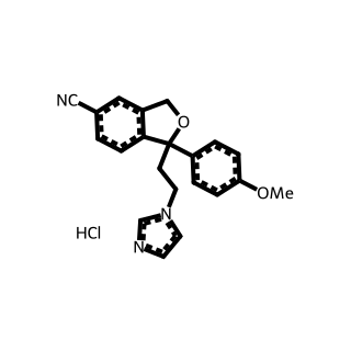 COc1ccc(C2(CCn3ccnc3)OCc3cc(C#N)ccc32)cc1.Cl